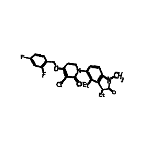 CCc1c(-n2ccc(OCc3ccc(F)cc3F)c(Cl)c2=O)ccc2c1C(CC)C(=O)N2C